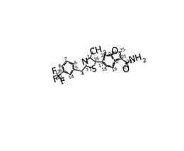 CC1N=C(Cc2cccc(C(F)(F)F)c2)SC1c1ccc2c(C(N)=O)coc2c1